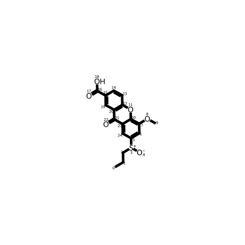 CCC[S+]([O-])c1cc(OC)c2oc3ccc(C(=O)O)cc3c(=O)c2c1